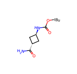 CC(C)(C)OC(=O)N[C@H]1C[C@H](C(N)=O)C1